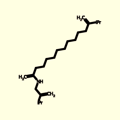 C=C(CCCCCCCCCCC(=C)C(C)C)NCC(=C)C(C)C